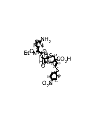 CCON=C(C(=O)NC1C(=O)N2CC(C=CSc3ccc([N+](=O)[O-])cn3)(C(=O)O)CS[C@H]12)c1nsc(N)n1